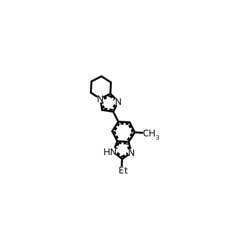 CCc1nc2c(C)cc(-c3cn4c(n3)CCCC4)cc2[nH]1